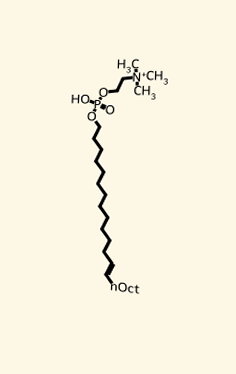 CCCCCCCC/C=C/CCCCCCCCCCCCOP(=O)(O)OCC[N+](C)(C)C